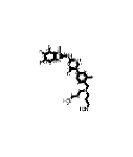 NCCCN(CCCN)Cc1ccc(-c2c[nH]c(Nc3nc4cc(F)c(F)c(F)c4[nH]3)nc2=O)cc1F